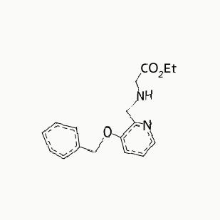 CCOC(=O)CNCc1ncccc1OCc1ccccc1